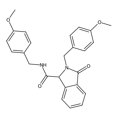 COc1ccc(CNC(=O)C2c3ccccc3C(=O)N2Cc2ccc(OC)cc2)cc1